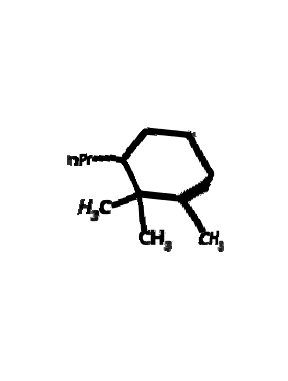 CCCC1C[CH]CC(C)C1(C)C